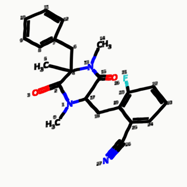 CN1C(=O)C(C)(Cc2ccccc2)N(C)C(=O)C1Cc1c(F)cccc1C#N